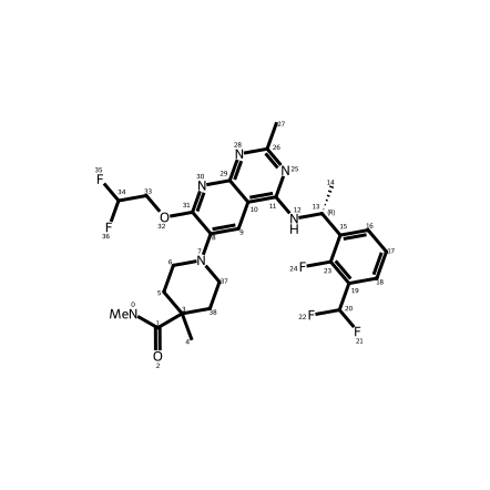 CNC(=O)C1(C)CCN(c2cc3c(N[C@H](C)c4cccc(C(F)F)c4F)nc(C)nc3nc2OCC(F)F)CC1